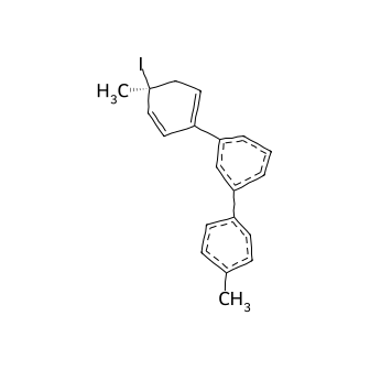 Cc1ccc(-c2cccc(C3=CC[C@](C)(I)C=C3)c2)cc1